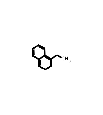 CCC1=c2ccccc2=CCC1